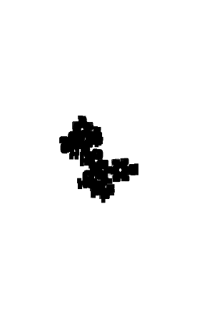 CS(=O)(=O)NC(CNC(=O)Cn1nc(-c2ccc(Cl)cc2)n(C[C@H](O)C(F)(F)F)c1=O)c1ccccc1C(F)(F)F